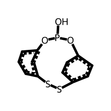 OP1Oc2ccc(cc2)SSc2cccc(c2)O1